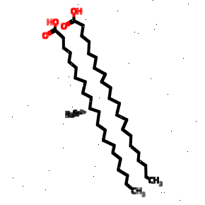 CCCCCCCCCCCCCCCCCCCCCC(=O)O.CCCCCCCCCCCCCCCCCCCCCC(=O)O.[Ba+2].[Sr+2]